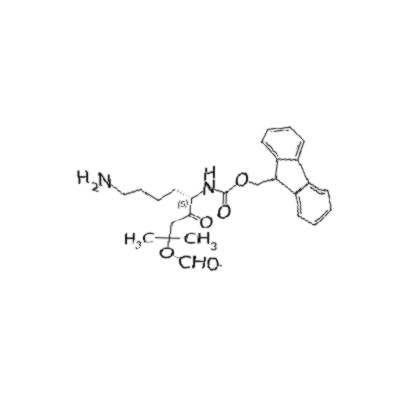 CC(C)(CC(=O)[C@H](CCCCN)NC(=O)OCC1c2ccccc2-c2ccccc21)O[C]=O